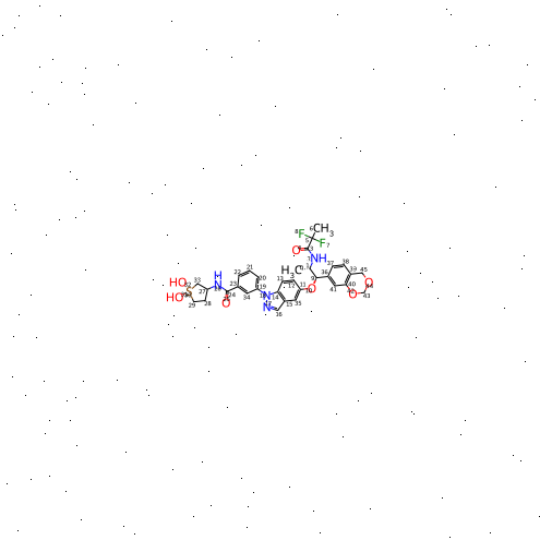 C[C@H](NC(=O)C(C)(F)F)[C@H](Oc1ccc2c(cnn2-c2cccc(C(=O)NC3CCS(O)(O)C3)c2)c1)c1ccc2c(c1)OCOC2